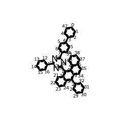 c1ccc(-c2ccc(-c3nc(-c4ccccc4)nc(-c4c5ccccc5c(-c5ccccc5)c5ccc6ccccc6c45)n3)cc2)cc1